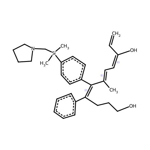 C=C\C(O)=C/C=C(C)/C(=C(\CCCO)c1ccccc1)c1ccc([Si](C)(C)CN2CCCC2)cc1